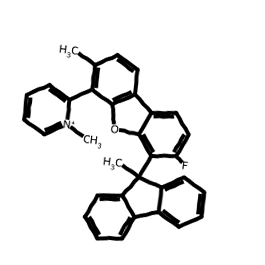 Cc1ccc2c(oc3c(C4(C)c5ccccc5-c5ccccc54)c(F)ccc32)c1-c1cccc[n+]1C